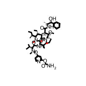 CC[C@H](CC(=O)N1CCC[C@H]1[C@H](OC)[C@@H](C)C(=O)N[C@H](C)[C@@H](O)c1ccccc1)[C@H]([C@@H](C)CC)N(C)C(=O)[C@@H](NC(=O)[C@H](C(C)C)N(C)Oc1ccnc(OC(N)=O)c1)C(C)C